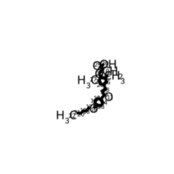 C=C(Oc1c(C)cc(/C=C/C(=O)c2ccc(OCCCCCC)cc2)cc1C)C(=O)O